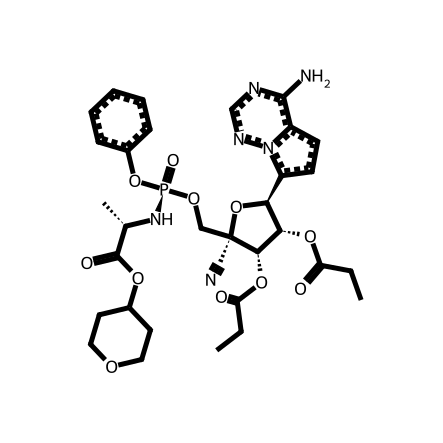 CCC(=O)O[C@H]1[C@H](c2ccc3c(N)ncnn23)O[C@](C#N)(CO[P@](=O)(N[C@@H](C)C(=O)OC2CCOCC2)Oc2ccccc2)[C@H]1OC(=O)CC